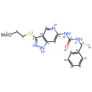 COCCSc1n[nH]c2cc(NC(=O)N[C@H](C)c3ccccc3)ncc12